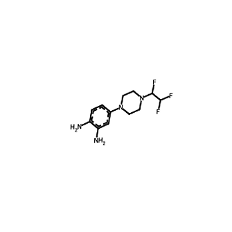 Nc1ccc(N2CCN(C(F)C(F)F)CC2)cc1N